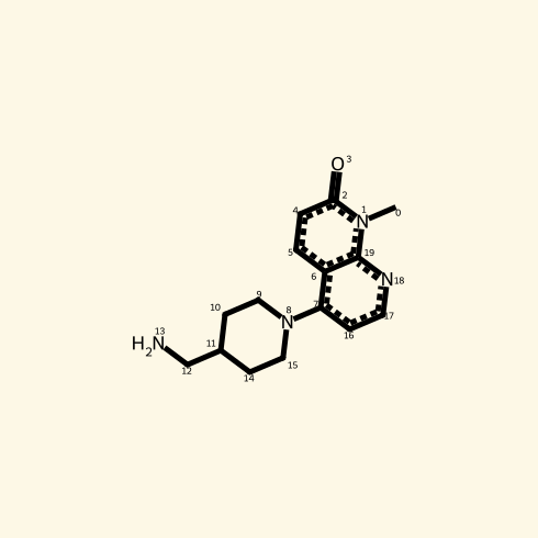 Cn1c(=O)ccc2c(N3CCC(CN)CC3)ccnc21